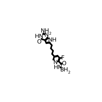 BNC(=O)c1ncc(CCCCc2cc3c(=O)[nH]c(N)nc3[nH]2)cc1F